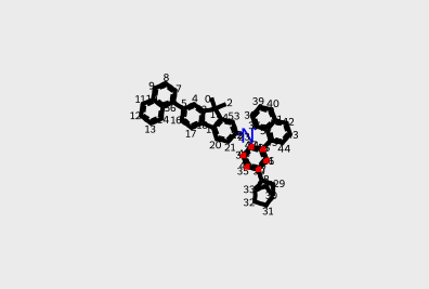 CC1(C)c2cc(-c3cccc4ccccc34)ccc2-c2ccc(N(c3ccc(C4CC5CCC4C5)cc3)c3cccc4cccc(C5CCCCC5)c34)cc21